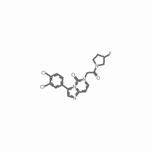 O=C(Cn1ccc2ncc(-c3ccc(Cl)c(Cl)c3)n2c1=O)N1CCC(F)C1